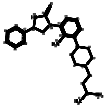 CC(N)CCN1CCC(c2cccc(N3CC(c4ccccc4)NC3=O)c2N)CC1